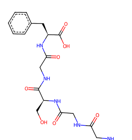 NCC(=O)NCC(=O)N[C@@H](CO)C(=O)NCC(=O)N[C@@H](Cc1ccccc1)C(=O)O